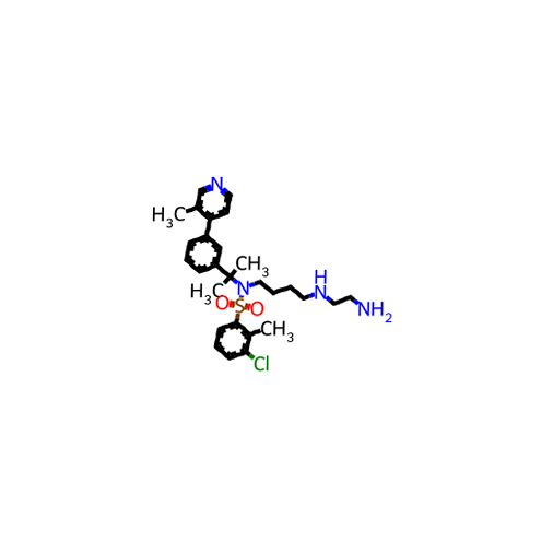 Cc1cnccc1-c1cccc(C(C)(C)N(CCCCNCCN)S(=O)(=O)c2cccc(Cl)c2C)c1